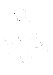 C=C[Si](C)(C)O[Si](CCCN1C(=O)C=CC1=O)(O[Si](C)(C)C=C)O[Si](C)(C)C=C